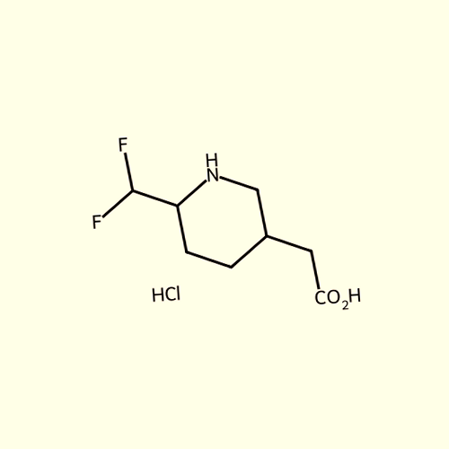 Cl.O=C(O)CC1CCC(C(F)F)NC1